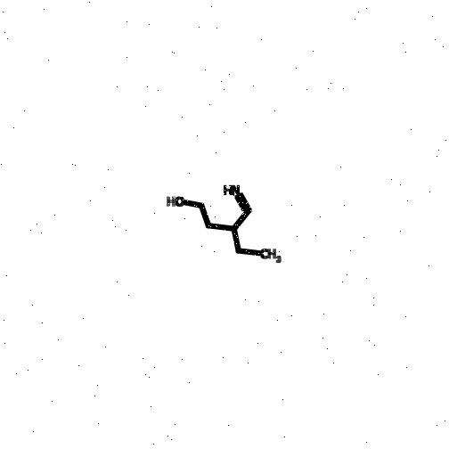 CCC(C=N)CCO